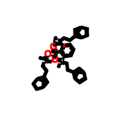 C[Si](C)(CCC1CC2C=CC1C2)O[Si](O[Si](C)(C)CCC1CC2C=CC1C2)(O[Si](C)(C)CCC1CC2CCC1C2)c1ccccc1